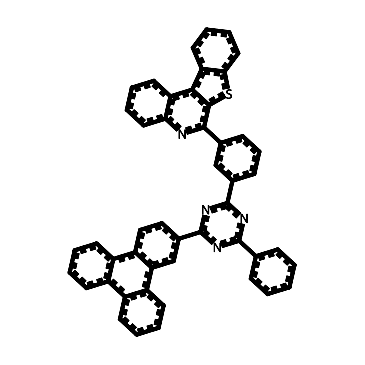 c1ccc(-c2nc(-c3cccc(-c4nc5ccccc5c5c4sc4ccccc45)c3)nc(-c3ccc4c5ccccc5c5ccccc5c4c3)n2)cc1